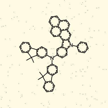 CC1(C)c2ccccc2-c2ccc(N(c3ccc4c(c3)C(C)(C)c3ccccc3-4)c3ccc4c(c3)c3c5ccc6cccc7ccc(cc3n4-c3ccccc3)c5c76)cc21